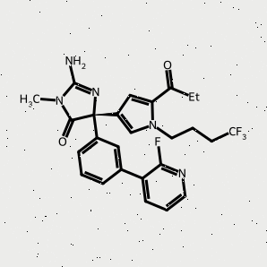 CCC(=O)c1cc([C@]2(c3cccc(-c4cccnc4F)c3)N=C(N)N(C)C2=O)cn1CCCC(F)(F)F